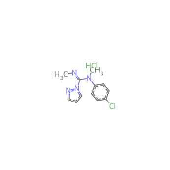 CN=C(N(C)c1ccc(Cl)cc1)n1cccn1.Cl